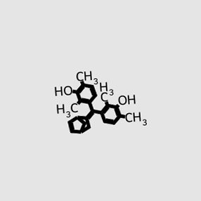 Cc1ccc(C(=C2CC3C=CC2C3)c2ccc(C)c(O)c2C)c(C)c1O